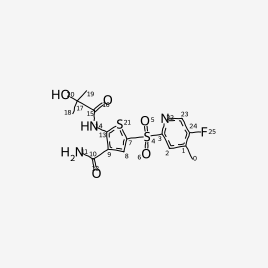 Cc1cc(S(=O)(=O)c2cc(C(N)=O)c(NC(=O)C(C)(C)O)s2)ncc1F